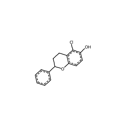 Oc1ccc2c(c1Cl)CCC(c1ccccc1)O2